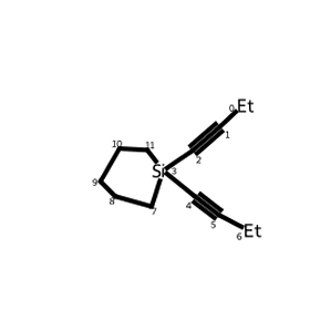 CCC#C[Si]1(C#CCC)CCCCC1